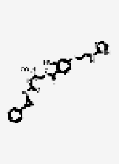 O=C(NC1CC1c1ccccc1)N[C@@H](CNC(=O)c1ccc(OCCNC2=NCCN2)cc1O)C(=O)O